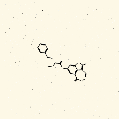 O=C1NN=Cc2c(Cl)[nH]c3cc(NC(=O)[C@@H](CCc4ccccc4)NCl)cc1c23